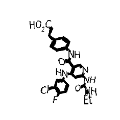 CCNC(=O)Nc1cc(Nc2ccc(F)c(Cl)c2)c(C(=O)Nc2ccc(CCC(=O)O)cc2)cn1